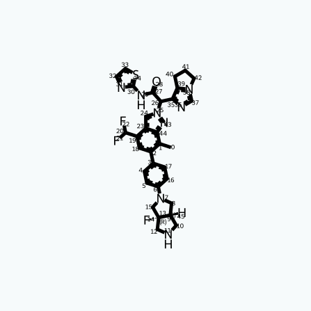 Cc1c(-c2ccc(N3C[C@@H]4CNC[C@@]4(F)C3)cc2)cc(C(F)F)c2cn(C(C(=O)Nc3nccs3)c3ncn4c3CCC4)nc12